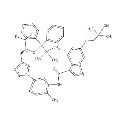 Cc1ccc(-c2noc(C[C@H](O[Si](c3ccccc3)(c3ccccc3)C(C)(C)C)C(F)F)n2)cc1NC(=O)c1cnc2cc(OCC(C)(C)O)ccn12